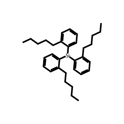 CCCCCc1ccccc1[Si](c1ccccc1CCCCC)c1ccccc1CCCCC